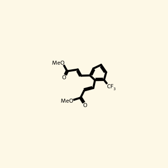 COC(=O)C=Cc1cccc(C(F)(F)F)c1C=CC(=O)OC